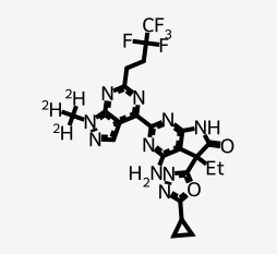 [2H]C([2H])([2H])n1ncc2c(-c3nc(N)c4c(n3)NC(=O)C4(CC)c3nnc(C4CC4)o3)nc(CCC(F)(F)C(F)(F)F)nc21